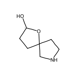 O[C]1CCC2(CCNC2)O1